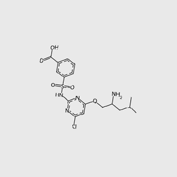 CC(C)CC(N)COc1cc(Cl)nc(NS(=O)(=O)c2cccc(C(=O)O)c2)n1